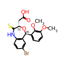 COc1cccc([C@@H]2O[C@@H](CC(=O)O)C(=S)Nc3ccc(Br)cc32)c1OC